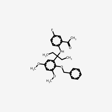 CCC(CC)(Pc1ccc(F)cc1C(C)=O)c1cc(OC)cc(OC)c1OCc1ccccc1